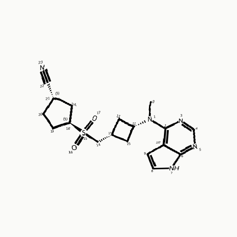 CN(c1ncnc2[nH]ccc12)[C@H]1C[C@@H](CS(=O)(=O)[C@H]2CC[C@H](C#N)C2)C1